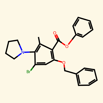 Cc1c(C(=O)Oc2ccccc2)c(OCc2ccccc2)cc(Br)c1N1CCCC1